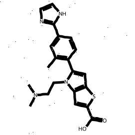 Cc1cc(-c2ncc[nH]2)ccc1-c1cc2sc(C(=O)O)cc2n1CCN(C)C